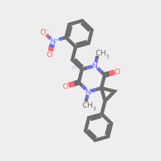 CN1C(=O)C2(CC2c2ccccc2)N(C)C(=O)/C1=C/c1ccccc1[N+](=O)[O-]